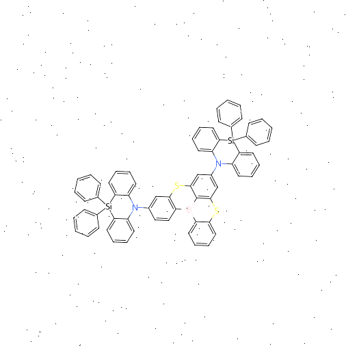 c1ccc([Si]2(c3ccccc3)c3ccccc3N(c3ccc4c(c3)Sc3cc(N5c6ccccc6[Si](c6ccccc6)(c6ccccc6)c6ccccc65)cc5c3B4c3ccccc3S5)c3ccccc32)cc1